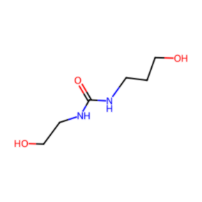 O=C(NCCO)NCCCO